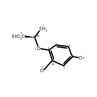 CCOC(=O)[C@@H](C)Oc1ccc(Cl)cc1Cl